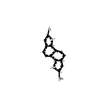 CCc1cc2ccc3c(ccc4cc(C(C)(C)C)sc43)c2s1